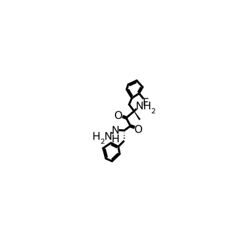 C[C@](N)(Cc1ccccc1F)C(=O)C(=O)[C@H](Cc1ccccc1)NN